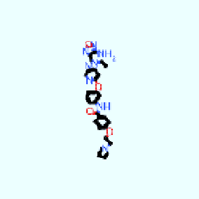 CCn1c(-c2nonc2N)nc2cnc(Oc3cccc(NC(=O)c4ccc(OCCN5CCCC5)cc4)c3)cc21